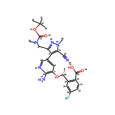 C[C@@H](Oc1cc(-c2c(CN(C)C(=O)OC(C)(C)C)nn(C)c2C#N)cnc1N)c1cc(F)ccc1C(=O)O